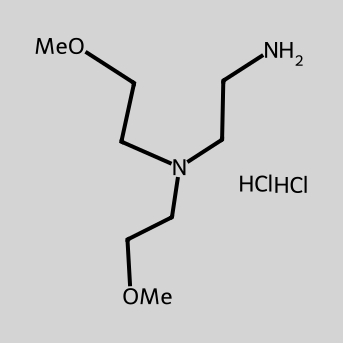 COCCN(CCN)CCOC.Cl.Cl